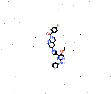 CCOc1cnc(Nc2cccnc2)nc1-c1cnn(C(CC#N)CC2CCN(C(=O)c3ccc(F)cc3F)CC2)c1